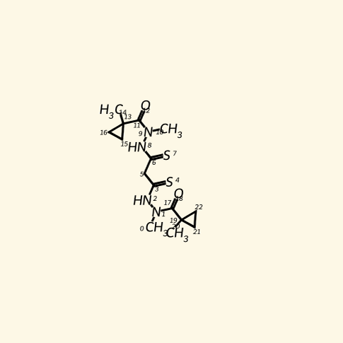 CN(NC(=S)CC(=S)NN(C)C(=O)C1(C)CC1)C(=O)C1(C)CC1